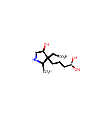 O=C(O)CC1(CCCB(O)O)C(O)CNC1C(=O)O